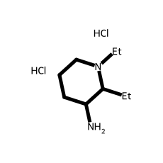 CCC1C(N)CCCN1CC.Cl.Cl